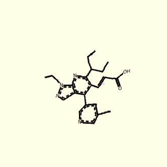 CCC(CC)c1nc2c(cnn2CC)c(-c2cncc(C)c2)c1/C=C/C(=O)O